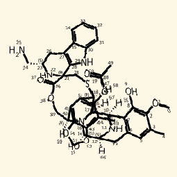 COc1c(C)cc2c(c1O)[C@H]1N[C@@H](C2)[C@H](O)N2[C@H]1[C@@H]1SC[C@]3(N[C@H](CN)Cc4c3[nH]c3ccccc43)C(=O)OC[C@H]2c2c3c(c(C)c(OC(C)=O)c21)OCO3